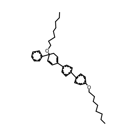 CCCCCCCCOc1ccc(-c2ccc(C3=CCC(OCCCCCCCC)(c4ccccc4)C=C3)cc2)cc1